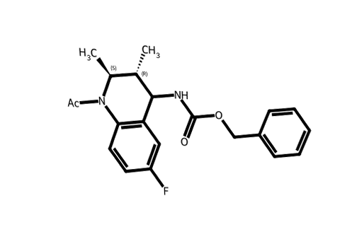 CC(=O)N1c2ccc(F)cc2C(NC(=O)OCc2ccccc2)[C@@H](C)[C@@H]1C